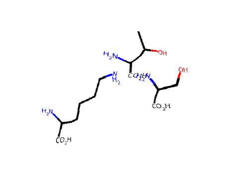 CC(O)C(N)C(=O)O.NC(CO)C(=O)O.NCCCCC(N)C(=O)O